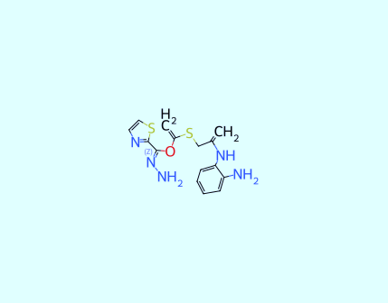 C=C(CSC(=C)O/C(=N\N)c1nccs1)Nc1ccccc1N